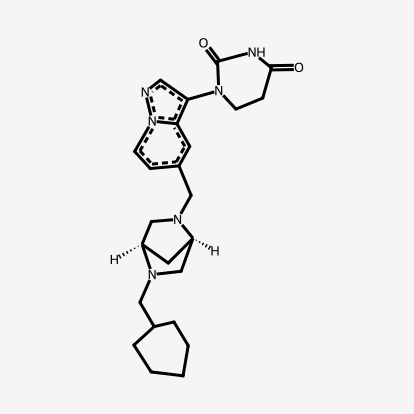 O=C1CCN(c2cnn3ccc(CN4C[C@H]5C[C@@H]4CN5CC4CCCCC4)cc23)C(=O)N1